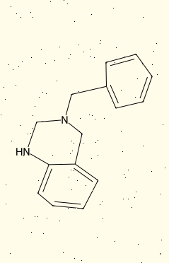 c1ccc(CN2CNc3ccccc3C2)cc1